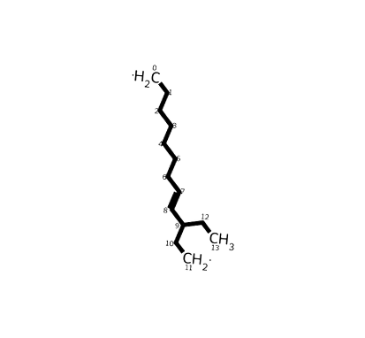 [CH2]CCCCCCC=CC(C[CH2])CC